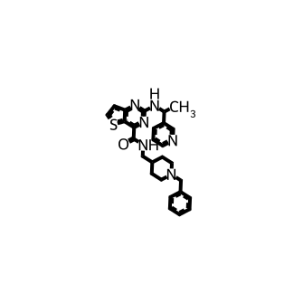 CC(Nc1nc(C(=O)NCC2CCN(Cc3ccccc3)CC2)c2sccc2n1)c1cccnc1